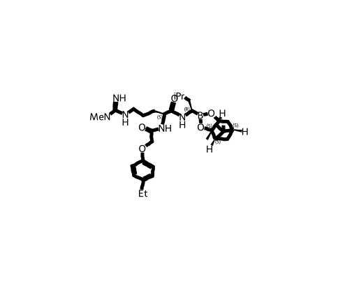 CCc1ccc(OCC(=O)N[C@@H](CCCNC(=N)NC)C(=O)N[C@@H](CC(C)C)B2O[C@@H]3C[C@@H]4C[C@@H](C4(C)C)[C@]3(C)O2)cc1